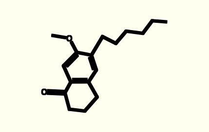 CCCCCCc1cc2c(cc1OC)C(=O)CCC2